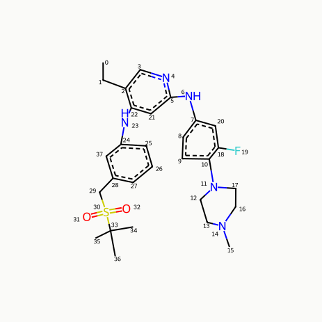 CCc1cnc(Nc2ccc(N3CCN(C)CC3)c(F)c2)cc1Nc1cccc(CS(=O)(=O)C(C)(C)C)c1